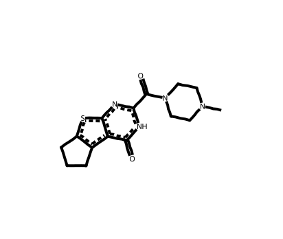 CN1CCN(C(=O)c2nc3sc4c(c3c(=O)[nH]2)CCC4)CC1